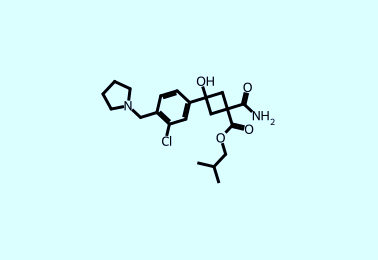 CC(C)COC(=O)C1(C(N)=O)CC(O)(c2ccc(CN3CCCC3)c(Cl)c2)C1